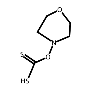 S=C(S)ON1CCOCC1